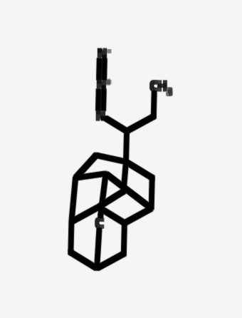 CCC(N=[N+]=[N-])C12CC3C4CC5CC3C(C1)C(C5)C4C2